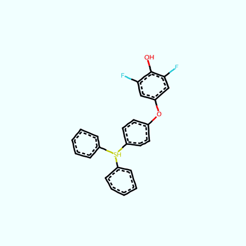 Oc1c(F)cc(Oc2ccc([SH](c3ccccc3)c3ccccc3)cc2)cc1F